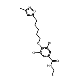 Cc1cc(CCCCCOc2c(Cl)cc(C(=O)NCCCl)cc2Br)on1